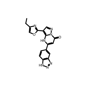 CCc1coc(-c2cnn3c(=O)cc(-c4ccc5[nH]nnc5c4)[nH]c23)n1